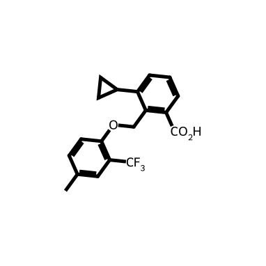 Cc1ccc(OCc2c(C(=O)O)cccc2C2CC2)c(C(F)(F)F)c1